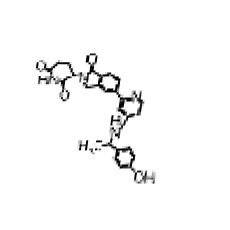 CC(NCc1ccnc(-c2ccc3c(c2)CN(C2CCC(=O)NC2=O)C3=O)c1)c1ccc(O)cc1